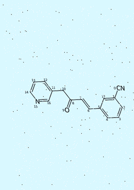 N#Cc1cccc(C=CC(=O)Cc2cccnc2)c1